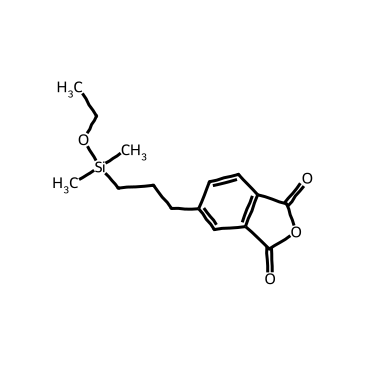 CCO[Si](C)(C)CCCc1ccc2c(c1)C(=O)OC2=O